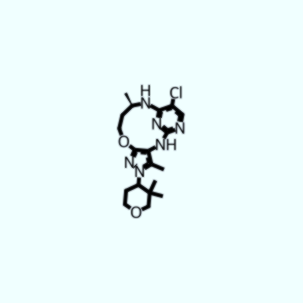 Cc1c2c(nn1C1CCOCC1(C)C)OCC[C@@H](C)Nc1nc(ncc1Cl)N2